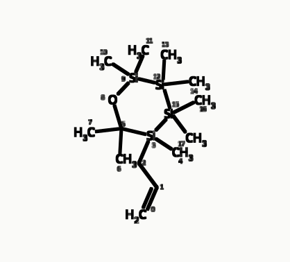 C=CC[Si]1(C)C(C)(C)O[Si](C)(C)[Si](C)(C)[Si]1(C)C